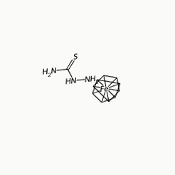 NNC(N)=S.[CH]12[CH]3[CH]4[CH]5[CH]1[Fe]23451678[CH]2[CH]1[CH]6[CH]7[CH]28